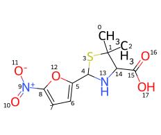 CC1(C)SC(c2ccc([N+](=O)[O-])o2)NC1C(=O)O